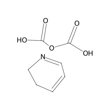 C1=CCCN=C1.O=C(O)OC(=O)O